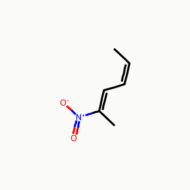 C/C=C\C=C(/C)[N+](=O)[O-]